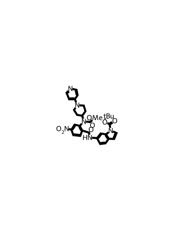 COC(=O)N(c1cc([N+](=O)[O-])ccc1C(=O)Nc1ccc2ccn(C(=O)OC(C)(C)C)c2c1)C1CCN(c2ccncc2)CC1